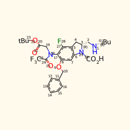 CC[C@@H](C)NC[C@H]1Cc2c(cc(OCc3ccccc3)c(N(CC(=O)OC(C)(C)C)C(=O)C(F)(F)F)c2F)N1C(=O)O